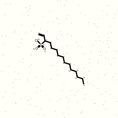 C=CC(CCCCCCCCCCCC)S(=O)(=O)Cl